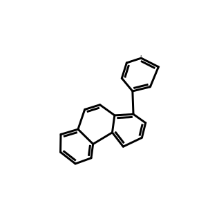 [c]1ccc(-c2cccc3c2ccc2ccccc23)cc1